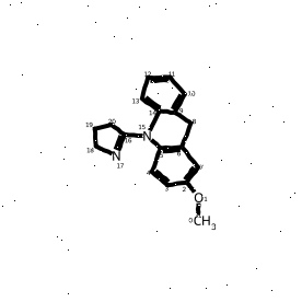 COc1ccc2c(c1)Cc1ccccc1N2C1=NCCC1